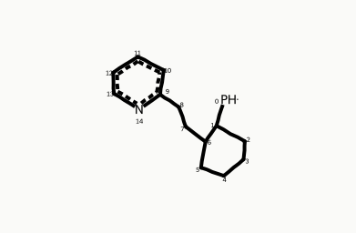 [PH]C1CCCCC1CCc1ccccn1